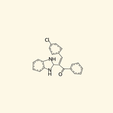 O=C(/C(=C/c1ccc(Cl)cc1)C1Nc2ccccc2N1)c1ccccc1